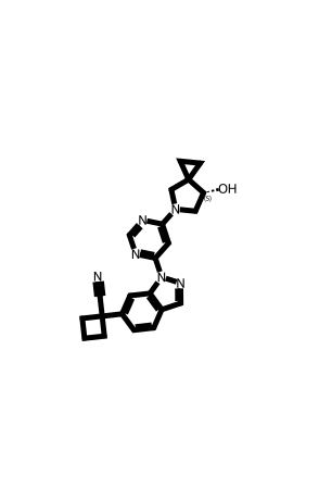 N#CC1(c2ccc3cnn(-c4cc(N5C[C@@H](O)C6(CC6)C5)ncn4)c3c2)CCC1